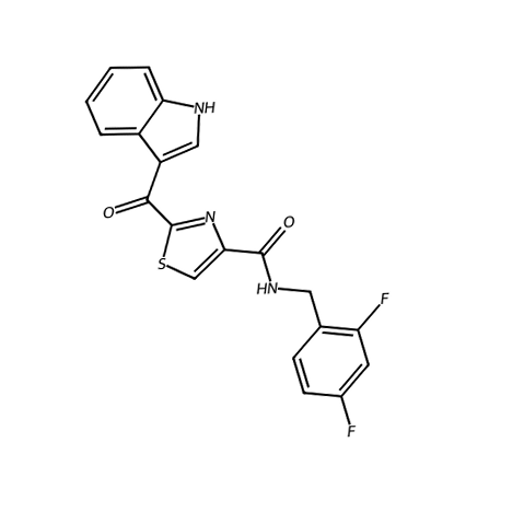 O=C(NCc1ccc(F)cc1F)c1csc(C(=O)c2c[nH]c3ccccc23)n1